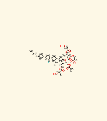 C=C(C)C(=O)OCC(COC(=O)C(=C)C)(COC(=O)C(=C)C)COc1c(CCCOC(=O)C(=C)CO)cc(-c2ccc(-c3ccc(C4CCC(CCCCC)CC4)cc3F)cc2CC)cc1CCCOC(=O)C(=C)CO